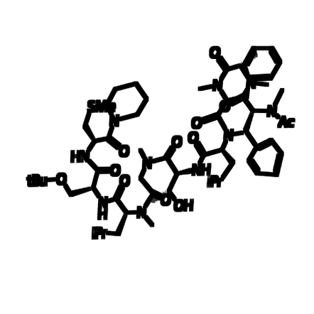 CSC[C@H](NC(=O)[C@H](COC(C)(C)C)NC(=O)[C@H](CC(C)C)N(C)C(=O)CN(C)C(=O)[C@@H](NC(=O)[C@H](CC(C)C)N(C)C(=O)[C@H](Cc1ccccc1)N(C)C(=O)[C@H](C)N(C)C(=O)[C@H](Cc1ccccc1)N(C)C(C)=O)[C@@H](C)O)C(=O)N1CCCCC1